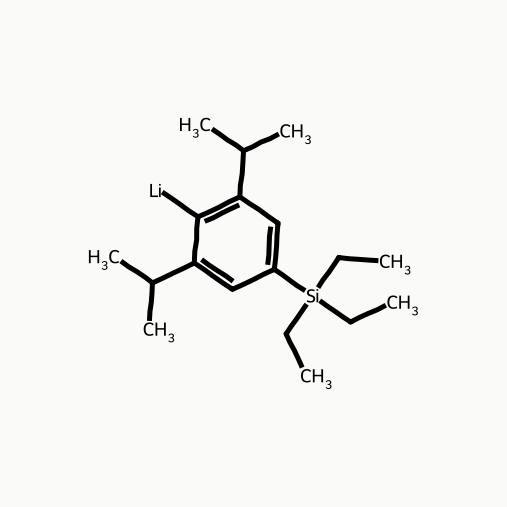 [Li][c]1c(C(C)C)cc([Si](CC)(CC)CC)cc1C(C)C